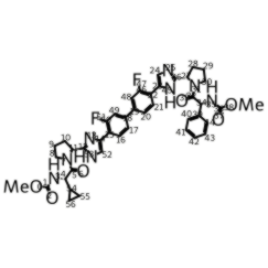 COC(=O)N[C@H](C(=O)N1CCC[C@H]1c1nc(-c2ccc(-c3ccc(-c4cnc([C@@H]5CCCN5C(=O)[C@H](NC(=O)OC)c5ccccc5)[nH]4)c(F)c3)cc2F)c[nH]1)C1CC1